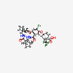 COc1cc(F)c(O[C@H]2CC[C@](C(=O)O)(C(F)(F)F)CC2)cc1C(=O)N[C@@H]1[C@H]2CC[C@H](C2)[C@@H]1C(=O)NCC1(C)CCC1